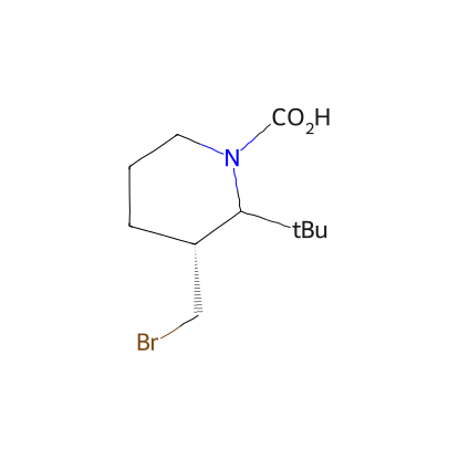 CC(C)(C)C1[C@H](CBr)CCCN1C(=O)O